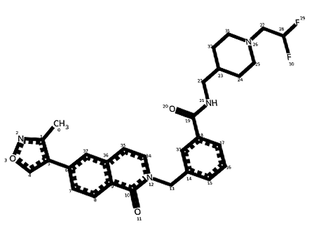 Cc1nocc1-c1ccc2c(=O)n(Cc3cccc(C(=O)NCC4CCN(CC(F)F)CC4)c3)ccc2c1